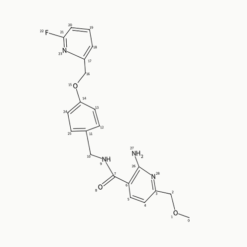 COCc1ccc(C(=O)NCc2ccc(OCc3cccc(F)n3)cc2)c(N)n1